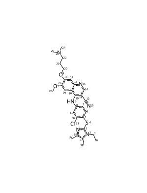 CCn1c(Sc2ccc(Nc3c(C#N)cnc4cc(OCCCN(C)C)c(OC)cc34)cc2Cl)nc(C)c1C